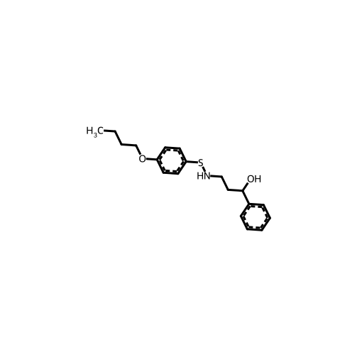 CCCCOc1ccc(SNCCC(O)c2ccccc2)cc1